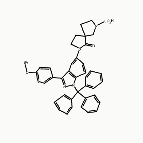 CC(C)Oc1ccc(-c2nn(C(c3ccccc3)(c3ccccc3)c3ccccc3)c3ccc(N4CCC5(CCN(C(=O)O)C5)C4=O)cc23)cn1